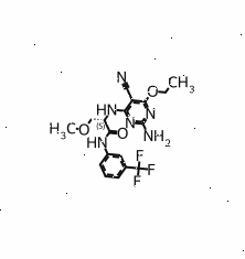 CCOc1nc(N)nc(N[C@@H](COC)C(=O)Nc2cccc(C(F)(F)F)c2)c1C#N